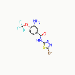 Nc1cc(C(=O)Nc2nnc(Br)s2)ccc1OC(F)(F)F